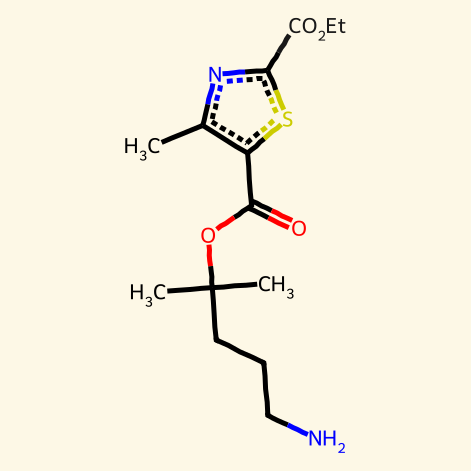 CCOC(=O)c1nc(C)c(C(=O)OC(C)(C)CCCN)s1